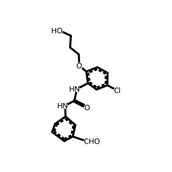 O=Cc1cccc(NC(=O)Nc2cc(Cl)ccc2OCCCO)c1